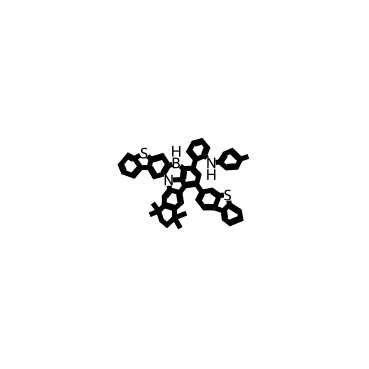 Cc1ccc(Nc2ccccc2-c2cc(-c3ccc4c(c3)sc3ccccc34)c3c4cc5c(cc4n4c3c2Bc2cc3sc6ccccc6c3cc2-4)C(C)(C)CCC5(C)C)cc1